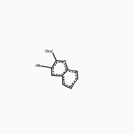 CCCCc1cc2ccccc2nc1C=O